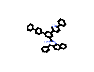 c1ccc(-c2ccc(-c3cc(C4=Nc5c(ccc6ccccc56)C(c5ccccc5)N4)cc(-c4ccc(-c5ccccc5)nc4)c3)cc2)cc1